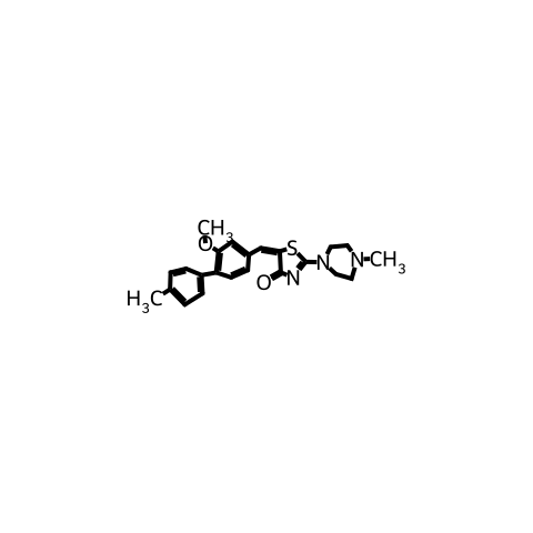 COc1cc(C=C2SC(N3CCN(C)CC3)=NC2=O)ccc1-c1ccc(C)cc1